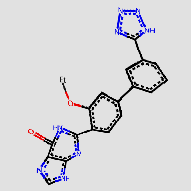 CCOc1cc(-c2cccc(-c3nnn[nH]3)c2)ccc1-c1nc2[nH]cnc2c(=O)[nH]1